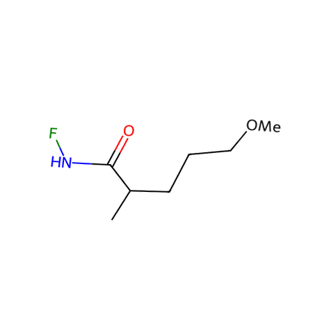 COCCCC(C)C(=O)NF